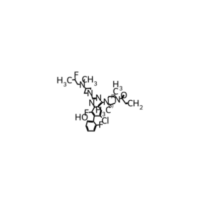 C=CC(=O)N1C[C@H](C)N(c2nc(N3CC(N(C)CC(C)F)C3)nc3c(F)c(-c4c(O)cccc4F)c(Cl)cc23)C[C@H]1C